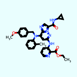 CCOC(=O)c1ncccc1Nc1cc(N(Cc2ccc(OC)cc2)c2ccccc2C)c2ncc(C(=O)NC3CC3)n2n1